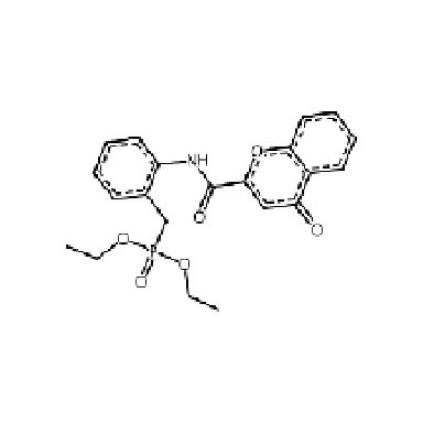 CCOP(=O)(Cc1ccccc1NC(=O)c1cc(=O)c2ccccc2o1)OCC